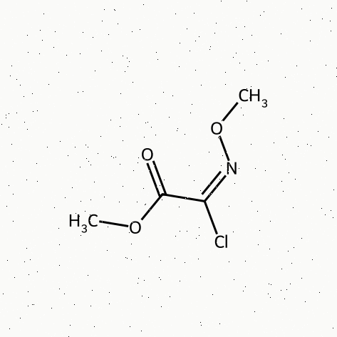 CO/N=C(/Cl)C(=O)OC